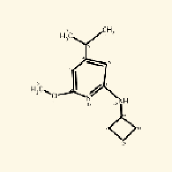 COc1cc(C(C)C)cc(NC2CCC2)n1